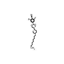 CCCCCCCCC[C@H]1CC[C@H]([C@H]2CO[C@H](c3cc(F)c(C#N)c(F)c3)OC2)CC1